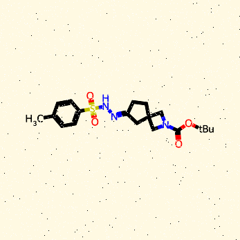 Cc1ccc(S(=O)(=O)NN=C2CCC3(C2)CN(C(=O)OC(C)(C)C)C3)cc1